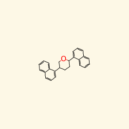 c1ccc2c(C3CCC(c4cccc5ccccc45)OC3)cccc2c1